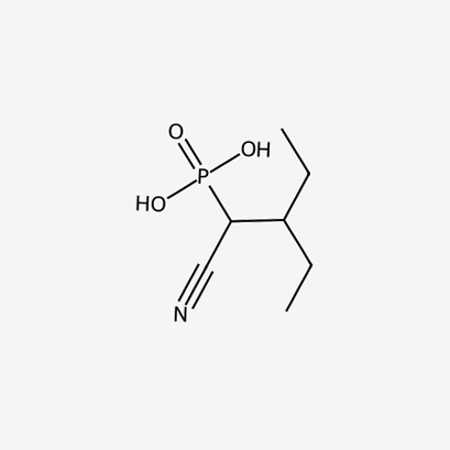 CCC(CC)C(C#N)P(=O)(O)O